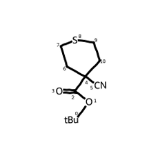 CC(C)(C)OC(=O)C1(C#N)CCSCC1